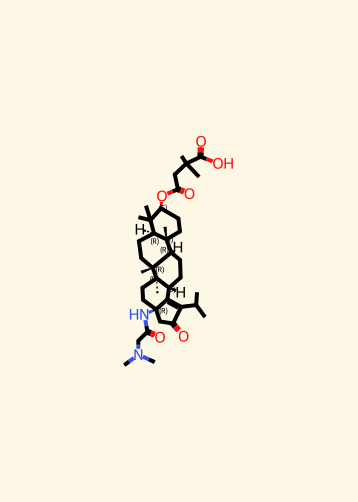 CC(C)C1=C2[C@H]3CC[C@@H]4[C@@]5(C)CC[C@H](OC(=O)CC(C)(C)C(=O)O)C(C)(C)[C@@H]5CC[C@@]4(C)[C@]3(C)CC[C@@]2(NC(=O)CN(C)C)CC1=O